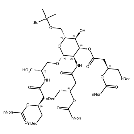 CCCCCCCCCCC[C@H](CC(=O)N[C@H]1[C@H](OC[C@H](NC(=O)C[C@@H](CCCCCCCCCCC)OC(=O)CCCCCCCCC)C(=O)O)O[C@H](CO[Si](C)(C)C(C)(C)C)[C@@H](O)[C@@H]1OC(=O)C[C@@H](CCCCCCCCCCC)OC(=O)CCCCCCCCC)OC(=O)CCCCCCCCC